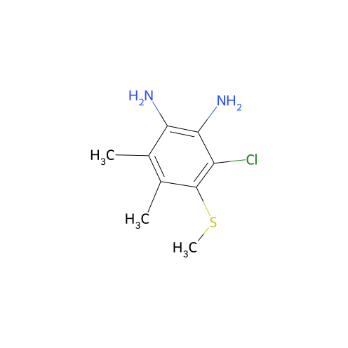 CSc1c(C)c(C)c(N)c(N)c1Cl